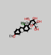 CCOc1ccc(Cc2cccc([C@]3(OC)O[C@H](CO)[C@@H](O)[C@H](O)[C@H]3O)c2Cl)cc1